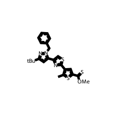 COC(=S)c1cc(-c2nc(-c3cc(C(C)(C)C)nn3Cc3ccccc3)cs2)c(C)s1